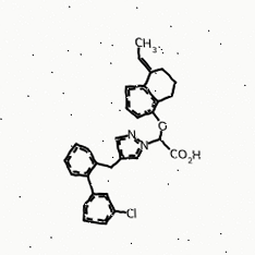 CC=C1CCCc2c(OC(C(=O)O)n3cc(Cc4ccccc4-c4cccc(Cl)c4)cn3)cccc21